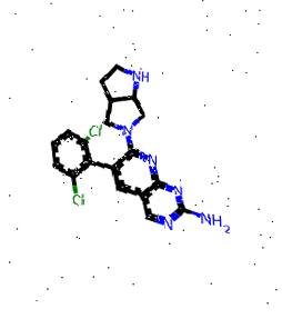 Nc1ncc2cc(-c3c(Cl)cccc3Cl)c(N3CC4CCNC4C3)nc2n1